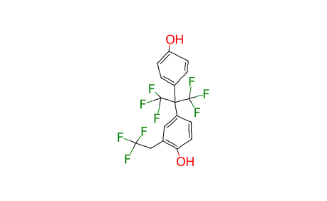 Oc1ccc(C(c2ccc(O)c(CC(F)(F)F)c2)(C(F)(F)F)C(F)(F)F)cc1